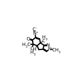 [C-]#[N+]C1=C[C@]2(C)c3nn(C)cc3C[C@@H]2C(C)(C)C1=O